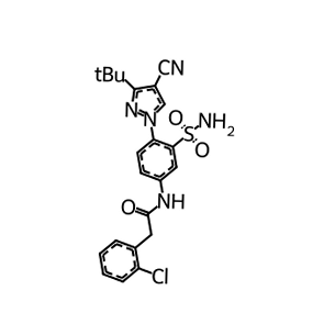 CC(C)(C)c1nn(-c2ccc(NC(=O)Cc3ccccc3Cl)cc2S(N)(=O)=O)cc1C#N